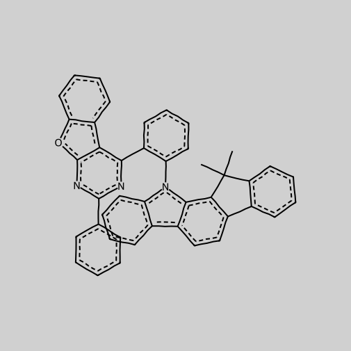 CC1(C)c2ccccc2-c2ccc3c4ccccc4n(-c4ccccc4-c4nc(-c5ccccc5)nc5oc6ccccc6c45)c3c21